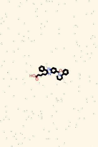 O=C(O)CCCCc1nc2cc(C(=O)N3CCCCC3c3ccccc3)ccc2nc1-c1ccccc1